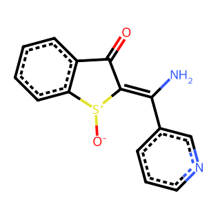 NC(=C1C(=O)c2ccccc2[S+]1[O-])c1cccnc1